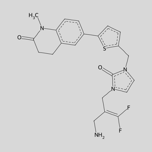 CN1C(=O)CCc2cc(-c3ccc(Cn4ccn(CC(CN)=C(F)F)c4=O)s3)ccc21